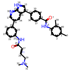 Cc1ccc(NC(=O)c2ccc(-c3c[nH]c4ncc(-c5cccc(NC(=O)/C=C/CN(C)C)c5)cc34)cc2)c(C)c1